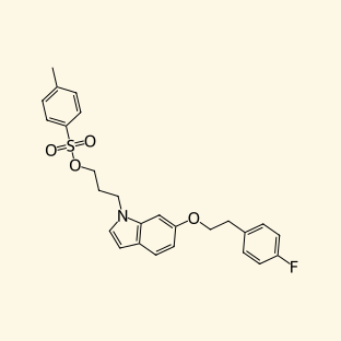 Cc1ccc(S(=O)(=O)OCCCn2ccc3ccc(OCCc4ccc(F)cc4)cc32)cc1